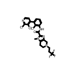 Cn1c(C(=O)Nc2cccc(-c3ccnc(Cl)c3Cl)c2Cl)nc2c1CCN(CCC(F)(F)F)C2